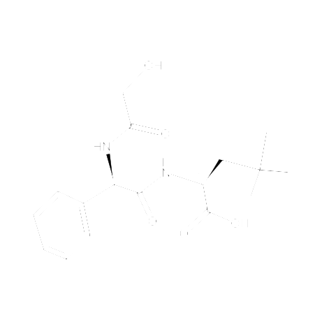 CC(C)(C)C[C@H](NC(=O)[C@H](NC(=O)CO)c1ccccc1)C(=O)O